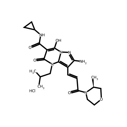 CC(C)Cn1c(=O)c(C(=O)NC2CC2)c(O)n2nc(N)c(/C=C/C(=O)N3CCOC[C@@H]3C)c12.Cl